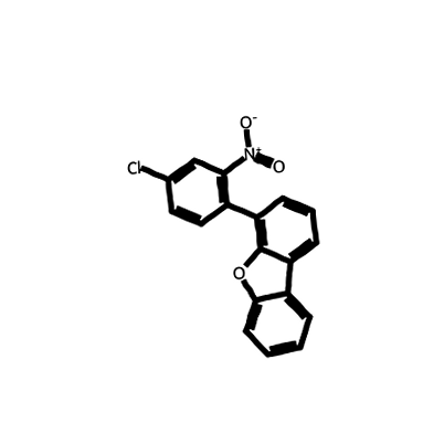 O=[N+]([O-])c1cc(Cl)ccc1-c1cccc2c1oc1ccccc12